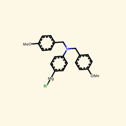 COc1ccc(CN(Cc2ccc(OC)cc2)c2cc[c]([Mg][Br])cc2)cc1